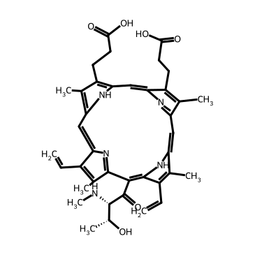 C=CC1=C(C)c2nc1cc1[nH]c(cc3nc(cc4[nH]c(c(C=C)c4C)c2C(=O)[C@@H](NC)[C@@H](C)O)C(C)=C3CCC(=O)O)c(CCC(=O)O)c1C